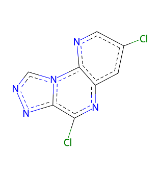 Clc1cnc2c(c1)nc(Cl)c1nncn12